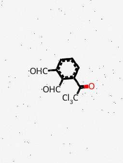 O=[C]c1cccc(C(=O)C(Cl)(Cl)Cl)c1[C]=O